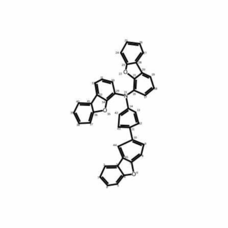 c1ccc2c(c1)oc1ccc(-c3ccc(N(c4cccc5c4oc4ccccc45)c4cccc5c4oc4ccccc45)cc3)cc12